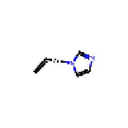 C=[CH][Au][n]1ccnc1